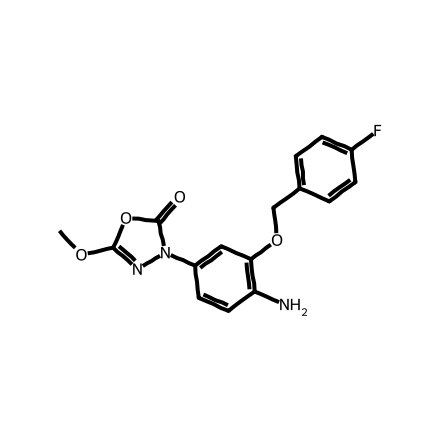 COc1nn(-c2ccc(N)c(OCc3ccc(F)cc3)c2)c(=O)o1